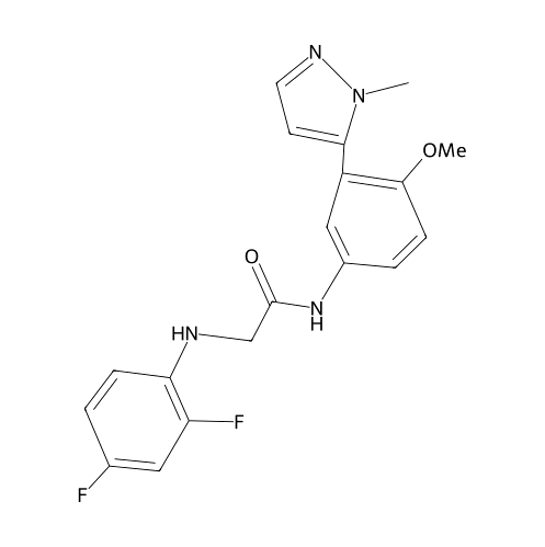 COc1ccc(NC(=O)CNc2ccc(F)cc2F)cc1-c1ccnn1C